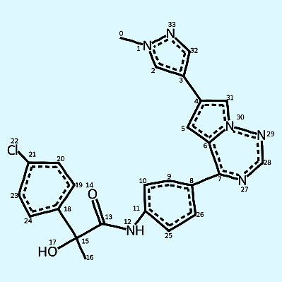 Cn1cc(-c2cc3c(-c4ccc(NC(=O)C(C)(O)c5ccc(Cl)cc5)cc4)ncnn3c2)cn1